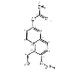 COc1ccc2cc(OC(C)=O)ccc2c1C=O